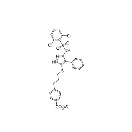 CCOC(=O)c1ccc(CCCSc2[nH]nc(NS(=O)(=O)c3c(Cl)cccc3Cl)c2-c2ccccn2)cc1